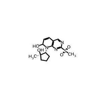 C[C@@]1(O)CCC[C@H]1N1c2nc(S(C)(=O)=O)ncc2C=CC1O